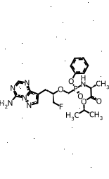 CC(C)OC(=O)[C@H](C)NP(=O)(CO[C@@H](CF)Cc1cnn2c(N)ncnc12)Oc1ccccc1